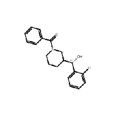 O=C(c1ccccc1)N1CCCC([C@H](O)c2ccccc2Cl)C1